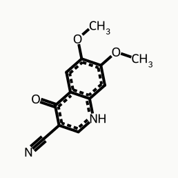 COc1cc2[nH]cc(C#N)c(=O)c2cc1OC